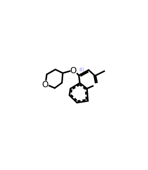 C=C(C)/C=C(/OC1CCOCC1)c1ccccc1C